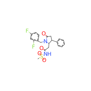 CS(=O)(=O)NC(=O)CC1C(c2ccccc2)CC(=O)N1Cc1ccc(F)cc1F